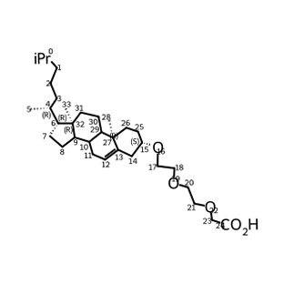 CC(C)CCC[C@@H](C)[C@H]1CCC2C3CC=C4C[C@@H](OCCOCCOCC(=O)O)CC[C@]4(C)C3CC[C@@]21C